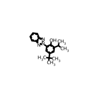 CC(C)c1cc(C(C)(C)C)cc(-n2nc3ccccc3n2)c1O